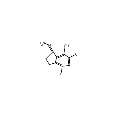 NN=C1CCc2c(Cl)cc(Cl)c(O)c21